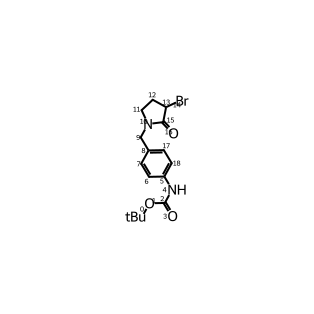 CC(C)(C)OC(=O)Nc1ccc(CN2CCC(Br)C2=O)cc1